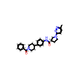 Cc1ccc(N2CC[C@H](C(=O)Nc3ccc(C4CCN(C(=O)c5ccccc5)CC4)cc3)C2)nn1